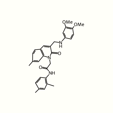 COc1ccc(NCc2cc3ccc(C)cc3n(CC(=O)Nc3ccc(C)cc3C)c2=O)cc1OC